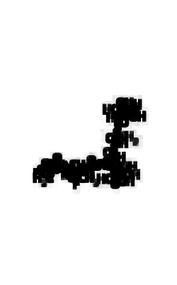 CC[C@@]1(O)C(=O)OCc2c1cc1n(c2=O)Cc2c-1nc1cc(F)c(C)c(CCCNC(=O)OCc3ccc(O[C@@H]4O[C@H](C(=O)O)[C@@H](O)[C@H](O)[C@H]4O)c(NC(=O)CCNC(=O)[C@@H](N)CCCC(=O)N[C@H]4O[C@H](C(=O)O)[C@@H](O)[C@H](O)[C@H]4O)c3)c1c2C